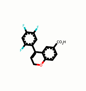 O=C(O)c1ccc2c(c1)C(c1cc(F)c(F)cc1F)=CCO2